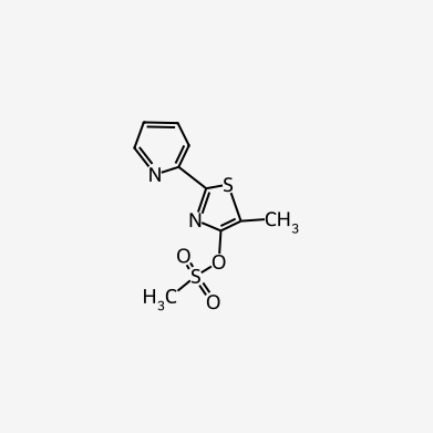 Cc1sc(-c2ccccn2)nc1OS(C)(=O)=O